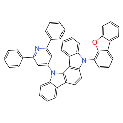 c1ccc(-c2cc(-n3c4ccccc4c4ccc5c(c6ccccc6n5-c5cccc6c5oc5ccccc56)c43)cc(-c3ccccc3)n2)cc1